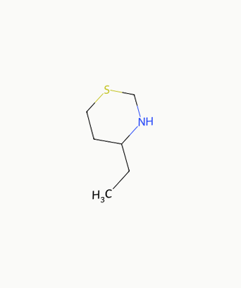 CCC1CCSCN1